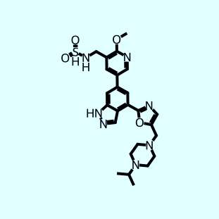 COc1ncc(-c2cc(-c3ncc(CN4CCN(C(C)C)CC4)o3)c3cn[nH]c3c2)cc1CN[SH](=O)=O